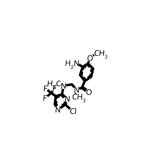 COc1ccc(C(=O)N(C)CN(C)c2nc(Cl)ncc2C(F)(F)F)cc1N